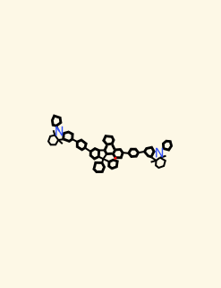 CC12CCCCC1(C)N(c1ccccc1)c1ccc(-c3ccc(-c4ccc5c(c4)-c4c(c6ccc(-c7ccc(-c8ccc9c(c8)C8(C)CCCCC8(C)N9c8ccccc8)cc7)cc6c6ccccc46)C5(c4ccccc4)c4ccccc4)cc3)cc12